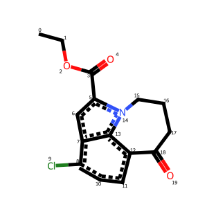 CCOC(=O)c1cc2c(Cl)ccc3c2n1CCCC3=O